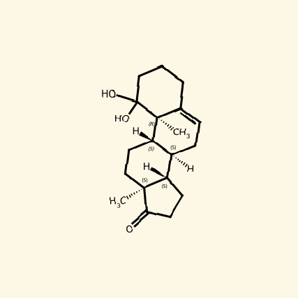 C[C@]12C(=CC[C@@H]3[C@@H]1CC[C@]1(C)C(=O)CC[C@@H]31)CCCC2(O)O